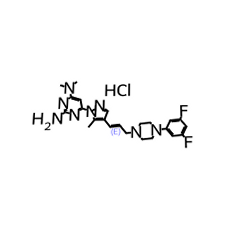 Cc1c(/C=C/CN2CCN(c3cc(F)cc(F)c3)CC2)cnn1-c1cc(N(C)C)nc(N)n1.Cl